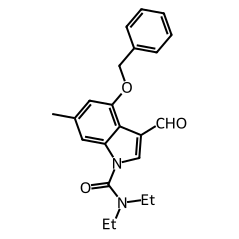 CCN(CC)C(=O)n1cc(C=O)c2c(OCc3ccccc3)cc(C)cc21